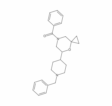 O=C(c1ccccc1)N1CC(C2CCN(Cc3ccccc3)CC2)OC2(CC2)C1